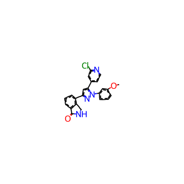 COc1cccc(-n2nc(-c3cccc4c3CNC4=O)cc2-c2ccnc(Cl)c2)c1